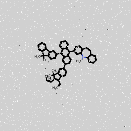 C=CC1=C(/C=C\C)C(C)(C)c2cc(-c3ccc4c(-c5ccc6c(c5)N(C)c5ccccc5C=C6)c5ccccc5c(-c5ccc6c(c5)-c5ccccc5C6(C)C)c4c3)ccc21